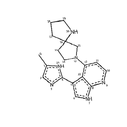 Cc1cnc(-c2c[nH]c3nccc(N4CCC5(CCCN5)C4)c23)[nH]1